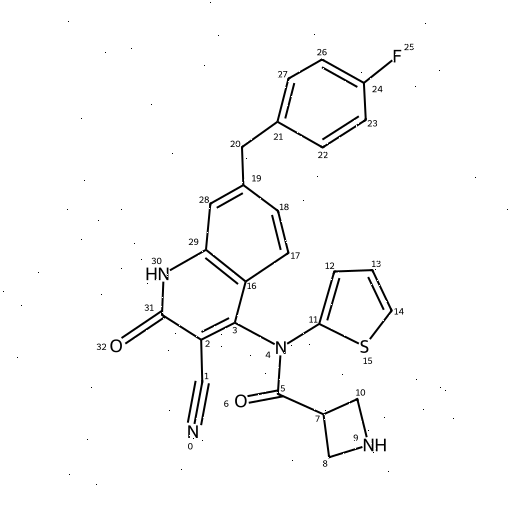 N#Cc1c(N(C(=O)C2CNC2)c2cccs2)c2ccc(Cc3ccc(F)cc3)cc2[nH]c1=O